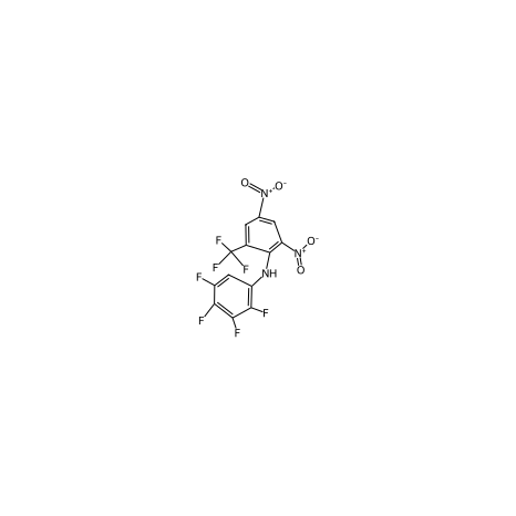 O=[N+]([O-])c1cc([N+](=O)[O-])c(Nc2cc(F)c(F)c(F)c2F)c(C(F)(F)F)c1